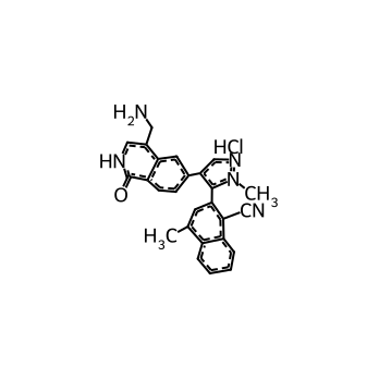 Cc1cc(-c2c(-c3ccc4c(=O)[nH]cc(CN)c4c3)cnn2C)c(C#N)c2ccccc12.Cl